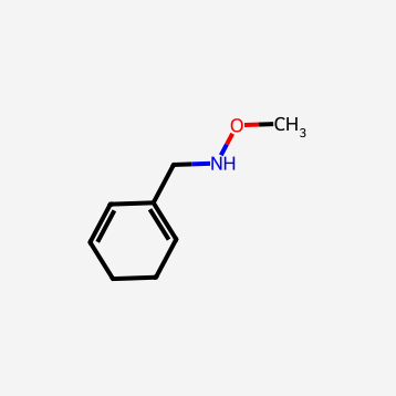 CONCC1=CCCC=C1